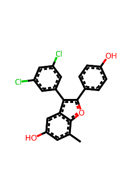 Cc1cc(O)cc2c(-c3cc(Cl)cc(Cl)c3)c(-c3ccc(O)cc3)oc12